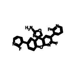 NC1=NC2(CO1)c1cc(-c3cccnc3F)ccc1Oc1nc(F)c(-c3cccnc3F)cc12